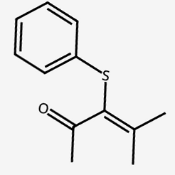 CC(=O)C(Sc1ccccc1)=C(C)C